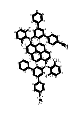 [C-]#[N+]c1ccc(-c2cc(-c3ccccc3)cc(N(c3c(C)cccc3F)c3ccc4ccc5c(N(c6cc(-c7ccccc7)cc(-c7ccc(C#N)cc7)c6)c6c(C)cccc6F)ccc6ccc3c4c65)c2)cc1